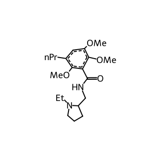 CCCc1cc(OC)c(OC)c(C(=O)NCC2CCCN2CC)c1OC